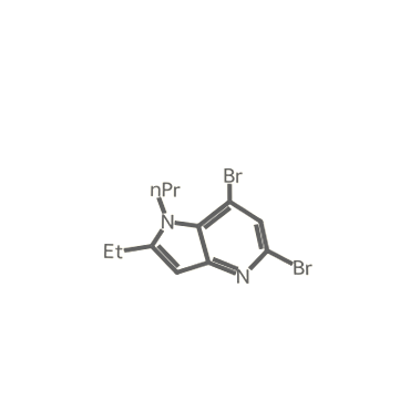 CCCn1c(CC)cc2nc(Br)cc(Br)c21